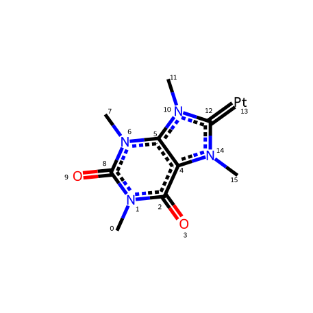 Cn1c(=O)c2c(n(C)c1=O)n(C)[c](=[Pt])n2C